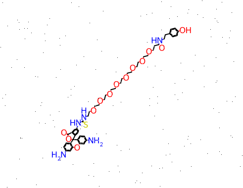 Nc1ccc2c(c1)Oc1cc(N)ccc1C21OC(=O)c2cc(NC(=S)NCCOCCOCCOCCOCCOCCOCCOCCOCCC(=O)NCCc3ccc(O)cc3)ccc21